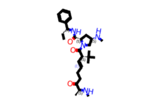 CC[C@@H](NC(=O)[C@@H]1C[C@H](NC)CN1C(=O)[C@@H](/C=C/CCC(=O)[C@H](C)NC)C(C)(C)C)c1ccccc1